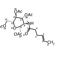 C/C=C/CCC(=O)N[C@H]1[C@H](OC(C)=O)O[C@H](COC(C)=O)[C@@H](OC(C)=O)[C@@H]1OC(C)=O